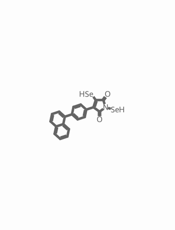 O=C1C([SeH])=C(c2ccc(-c3cccc4ccccc34)cc2)C(=O)N1[SeH]